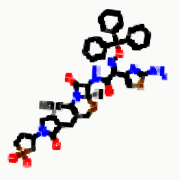 Nc1nc(C(=NOC(c2ccccc2)(c2ccccc2)c2ccccc2)C(=O)N[C@@H]2C(=O)N3C(C(=O)O)=C(C=C4CCN(C5CCS(=O)(=O)C5)C4=O)CS[C@H]23)cs1